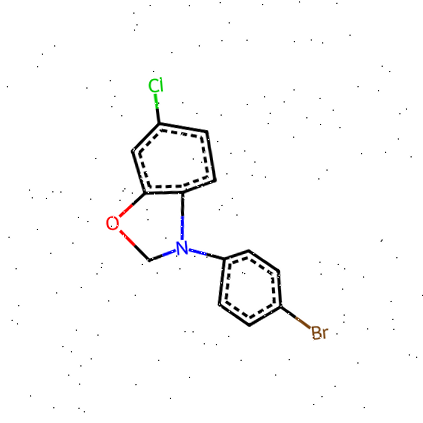 Clc1ccc2c(c1)OCN2c1ccc(Br)cc1